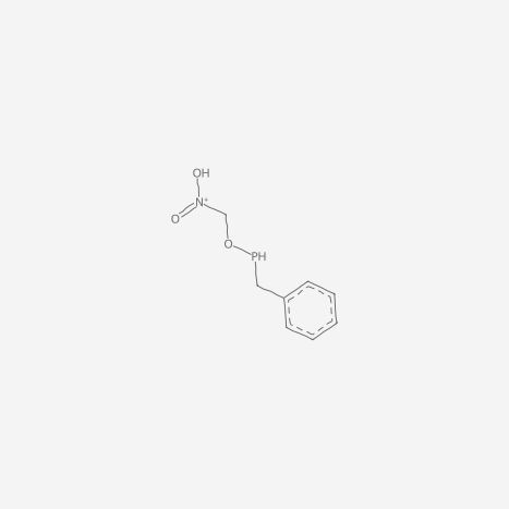 O=[N+](O)COPCc1ccccc1